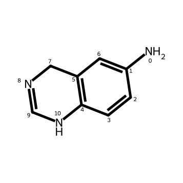 Nc1ccc2c(c1)CN=CN2